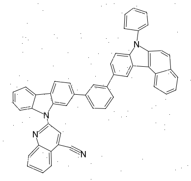 N#Cc1cc(-n2c3ccccc3c3ccc(-c4cccc(-c5ccc6c(c5)c5c7ccccc7ccc5n6-c5ccccc5)c4)cc32)nc2ccccc12